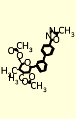 CC(=O)OC[C@H]1OC(c2cccc(-c3ccc(-c4nnc(C)o4)cc3)c2)[C@@H](OC(C)=O)[C@@H](C)[C@@H]1C